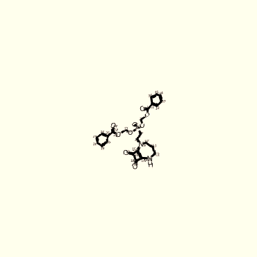 O=C(OCOP(=O)(CCN1CCCNc2c1c(=O)c2=O)OCOC(=O)c1ccccc1)c1ccccc1